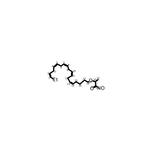 CC/C=C\C/C=C\C/C=C\C/C=C\C/C=C\CCCCOC(C)C(=O)N=O